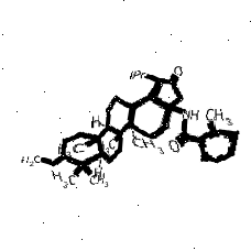 C=CC1CCC2(C)[C@H]3CCC4C5=C(C(C)C)C(=O)CC5(NC(=O)c5ccccc5C)CC[C@@]4(C)C3(C)CC[C@H]2C1(C)C